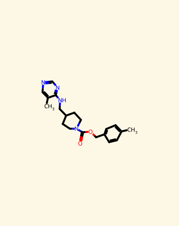 Cc1ccc(COC(=O)N2CCC(CNc3ncncc3C)CC2)cc1